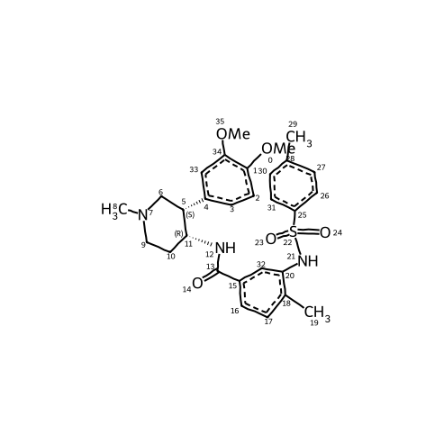 COc1ccc([C@H]2CN(C)CC[C@H]2NC(=O)c2ccc(C)c(NS(=O)(=O)c3ccc(C)cc3)c2)cc1OC